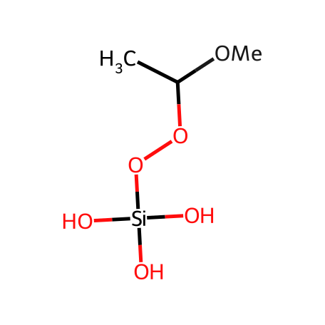 COC(C)OO[Si](O)(O)O